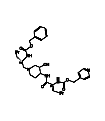 CC(C)C[C@@H](CN1CCC(NC(=O)[C@H](CC(C)C)NC(=O)OCc2ccncc2)C(O)C1)NC(=O)OCc1ccccc1